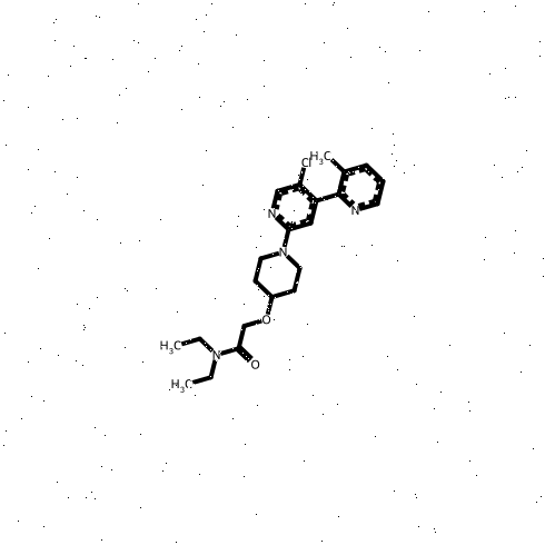 CCN(CC)C(=O)COC1CCN(c2cc(-c3ncccc3C)c(Cl)cn2)CC1